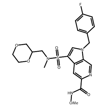 CONC(=O)c1cc2c(S(=O)(=O)N(C)CC3COCCO3)cn(Cc3ccc(F)cc3)c2cn1